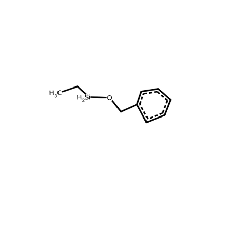 CC[SiH2]OCc1ccccc1